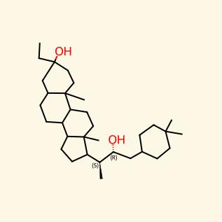 CCC1(O)CCC2(C)C(CCC3C2CCC2(C)C3CCC2[C@H](C)[C@H](O)CC2CCC(C)(C)CC2)C1